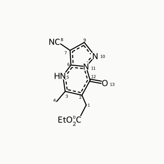 CCOC(=O)Cc1c(C)[nH]c2c(C#N)cnn2c1=O